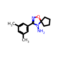 Cc1cc(C)cc(C2=NOC3(CCCC3)N2N)c1